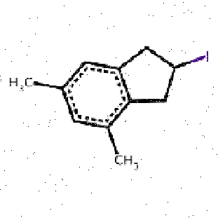 Cc1cc(C)c2c(c1)CC(I)C2